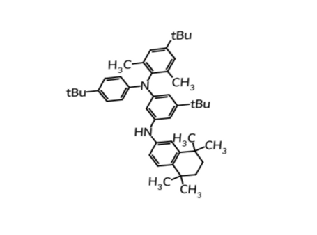 Cc1cc(C(C)(C)C)cc(C)c1N(c1ccc(C(C)(C)C)cc1)c1cc(Nc2ccc3c(c2)C(C)(C)CCC3(C)C)cc(C(C)(C)C)c1